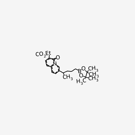 CCOC(=O)c1ccc2ccc(C(C)CCCB3OC(C)(C)C(C)(C)O3)cn2c1=O